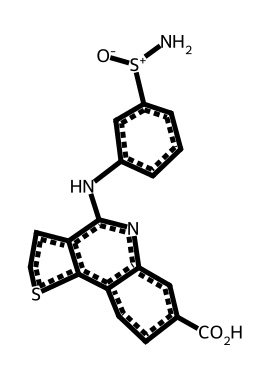 N[S+]([O-])c1cccc(Nc2nc3cc(C(=O)O)ccc3c3sccc23)c1